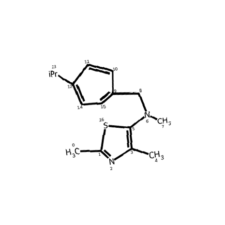 Cc1nc(C)c(N(C)Cc2ccc(C(C)C)cc2)s1